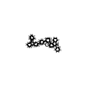 c1ccc(-c2nc3ccccc3c3c2ccc2oc4c(-c5ccc(-c6ccc7c8ccccc8n(-c8ccccc8)c7c6)cc5)cccc4c23)cc1